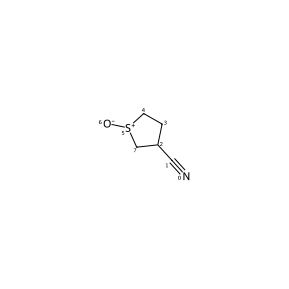 N#CC1CC[S+]([O-])C1